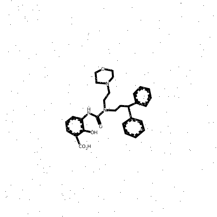 O=C(O)c1cccc(NC(=O)N(CCC(c2ccccc2)c2ccccc2)CCN2CCOCC2)c1O